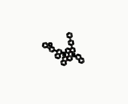 c1ccc(-c2ccc(-c3ccc(N(c4ccc5ccccc5c4)c4ccccc4-c4ccccc4N(c4ccc5ccccc5c4)c4ccc(-c5ccc6c(c5)oc5ccccc56)c5ccccc45)cc3)cc2)cc1